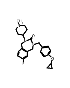 CN1CCC(N2Cc3ccc(F)cc3CN(Cc3ccc(OC4CC4)cc3)C2=O)CC1